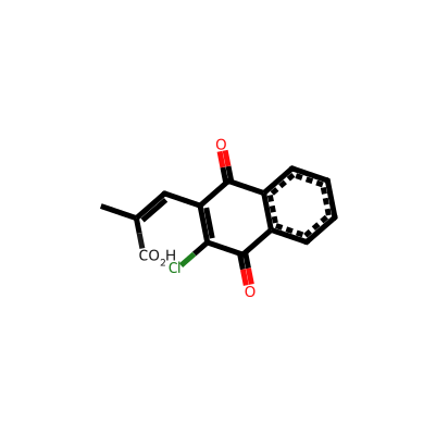 C/C(=C/C1=C(Cl)C(=O)c2ccccc2C1=O)C(=O)O